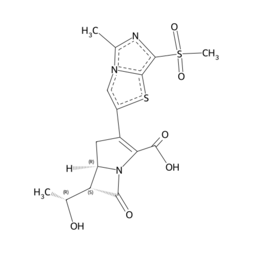 Cc1nc(S(C)(=O)=O)c2sc(C3=C(C(=O)O)N4C(=O)[C@H]([C@@H](C)O)[C@H]4C3)cn12